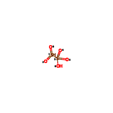 O=[SH](=O)S(=O)(=O)O